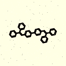 C(=C(c1ccccc1)c1ccccc1)c1ccc(-c2ccc(C=C(c3ccccc3)c3ccccc3)cc2)cc1